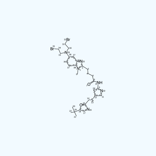 Cn1c(CCCC(=O)Nc2ncc(SCc3ncc(C(C)(C)C)o3)s2)nc2cc(N(CCBr)CCBr)ccc21